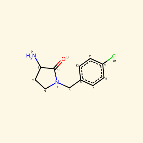 NC1CCN(Cc2ccc(Cl)cc2)C1=O